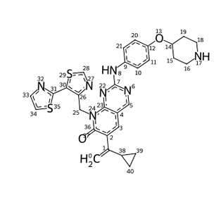 C=C(c1cc2cnc(Nc3ccc(OC4CCNCC4)cc3)nc2n(Cc2ncsc2-c2nccs2)c1=O)C1CC1